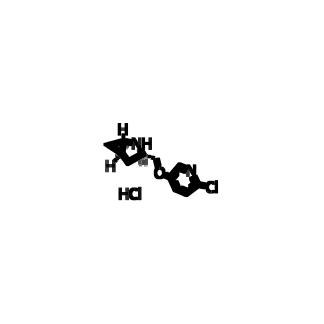 Cl.Clc1ccc(OC[C@@H]2C[C@H]3C[C@H]3N2)cn1